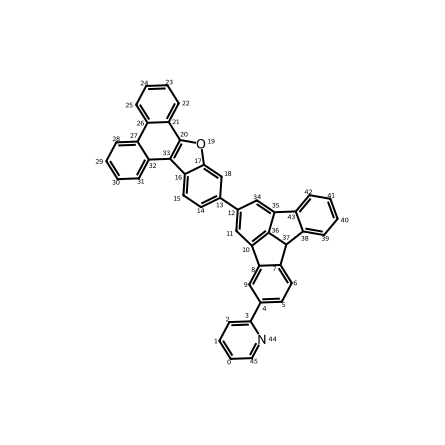 c1ccc(-c2ccc3c(c2)-c2cc(-c4ccc5c(c4)oc4c6ccccc6c6ccccc6c54)cc4c2C3c2ccccc2-4)nc1